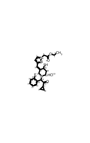 CCOC(=O)Cn1ccc(C=C2CN(C(C(=O)C3CC3)c3ccccc3F)CCC2S)n1.Cl